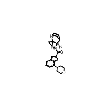 O=C(N[C@@H]1C2CCN(CC2)C12CC2)c1cc2cccc(C3CCOCC3)c2s1